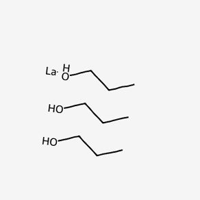 CCCO.CCCO.CCCO.[La]